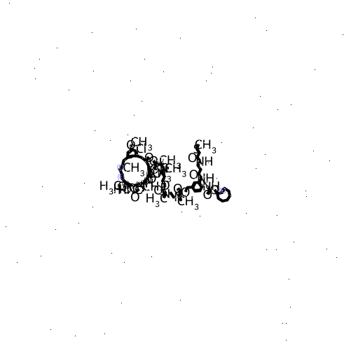 COc1cc2cc(c1Cl)CC(=O)C[C@H](OC(=O)[C@H](C)N(C)C(=O)CCOC(=O)N(C)CCN(C)C(=O)OCc1ccc(NC(=O)OC3/C=C/CCCCC3)c(NC(=O)CCNC(=O)CSC)c1)[C@]1(C)O[C@H]1[C@H](C)[C@@H]1C[C@@](O)(NC(=O)O1)[C@H](OC)/C=C/C=C(\C)C2